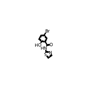 O=C(Nc1nccs1)c1cc(Br)ccc1O